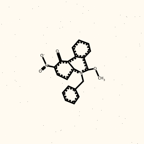 COc1c2ccccc2c2c(=O)c([N+](=O)[O-])ccc-2n1Cc1ccccc1